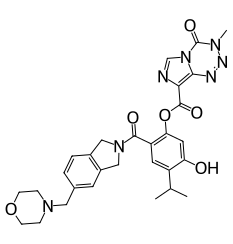 CC(C)c1cc(C(=O)N2Cc3ccc(CN4CCOCC4)cc3C2)c(OC(=O)c2ncn3c(=O)n(C)nnc23)cc1O